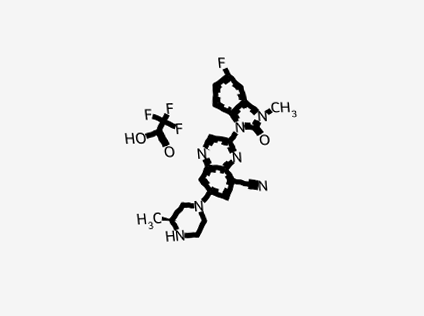 C[C@H]1CN(c2cc(C#N)c3nc(-n4c(=O)n(C)c5cc(F)ccc54)cnc3c2)CCN1.O=C(O)C(F)(F)F